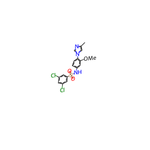 COc1cc(NS(=O)(=O)c2cc(Cl)cc(Cl)c2)ccc1-n1cnc(C)c1